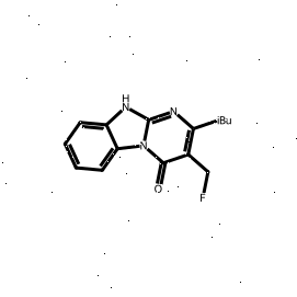 CCC(C)c1nc2[nH]c3ccccc3n2c(=O)c1CF